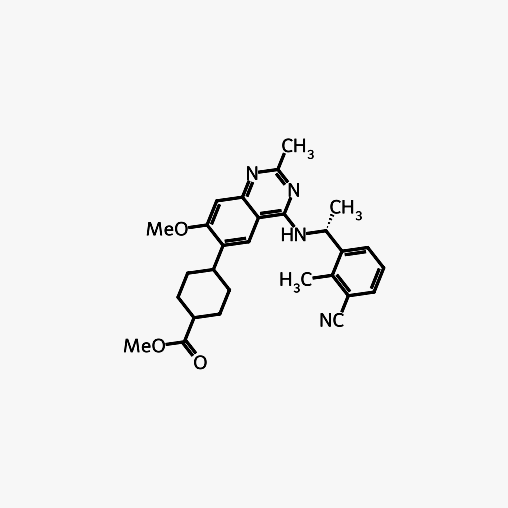 COC(=O)C1CCC(c2cc3c(N[C@H](C)c4cccc(C#N)c4C)nc(C)nc3cc2OC)CC1